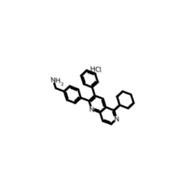 Cl.NCc1ccc(-c2nc3ccnc(C4CCCCC4)c3cc2-c2ccccc2)cc1